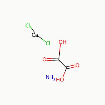 N.O=C(O)C(=O)O.[Cl][Ca][Cl]